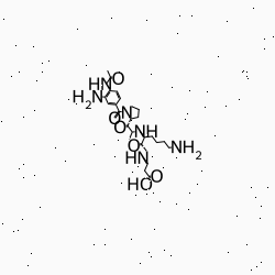 CC(=O)Nc1ccc(C(=O)N2CCCC2C(=O)C(C)NC(CCCCN)C(=O)CNCCC(=O)O)cc1N